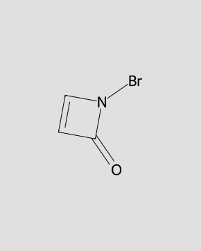 O=C1C=CN1Br